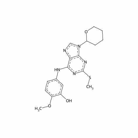 COc1ccc(Nc2nc(SC)nc3c2ncn3C2CCCCO2)cc1O